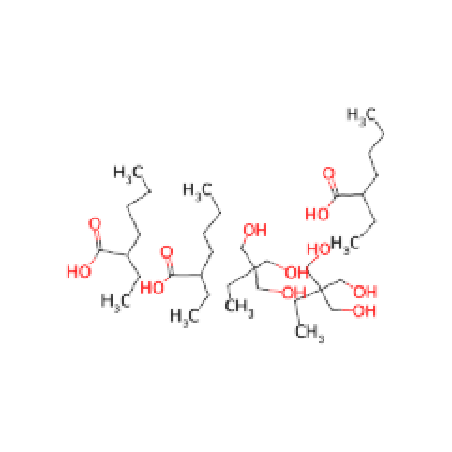 CCC(CO)(CO)CO.CCC(CO)(CO)CO.CCCCC(CC)C(=O)O.CCCCC(CC)C(=O)O.CCCCC(CC)C(=O)O